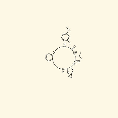 COc1cccc(C[C@H]2NCCOc3ccccc3CCCNC(=O)[C@H](CC3CC3)NC(=O)[C@@H](C(C)C)NC2=O)c1